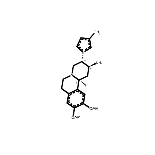 COc1cc2c(cc1OC)[C@@H]1C[C@H](N)[C@@H](n3ccc(C)c3)CN1CC2